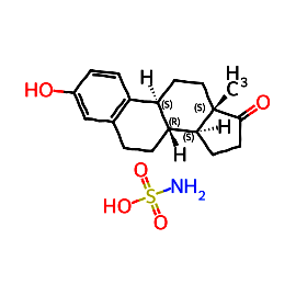 C[C@]12CC[C@@H]3c4ccc(O)cc4CC[C@H]3[C@@H]1CCC2=O.NS(=O)(=O)O